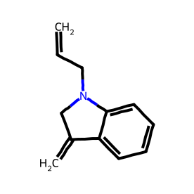 C=CCN1CC(=C)c2ccccc21